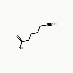 C#CCCCCC(N)=O